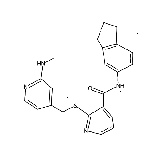 CNc1cc(CSc2ncccc2C(=O)Nc2ccc3c(c2)CCC3)ccn1